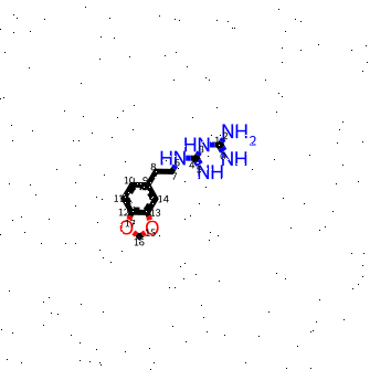 N=C(N)NC(=N)NCCc1ccc2c(c1)OCO2